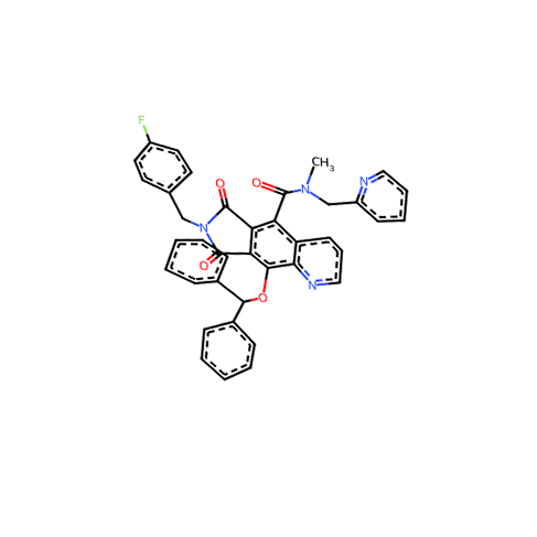 CN(Cc1ccccn1)C(=O)c1c2c(c(OC(c3ccccc3)c3ccccc3)c3ncccc13)C(=O)N(Cc1ccc(F)cc1)C2=O